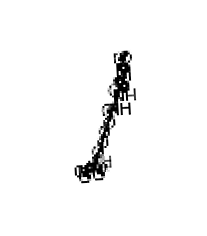 COC(=O)c1ccc(Oc2cccc3c(C(=O)NCCCNC(=O)CCOCCOCCOCCOCCNc4ccc([N+](=O)[O-])cc4[N+](=O)[O-])cccc23)nc1